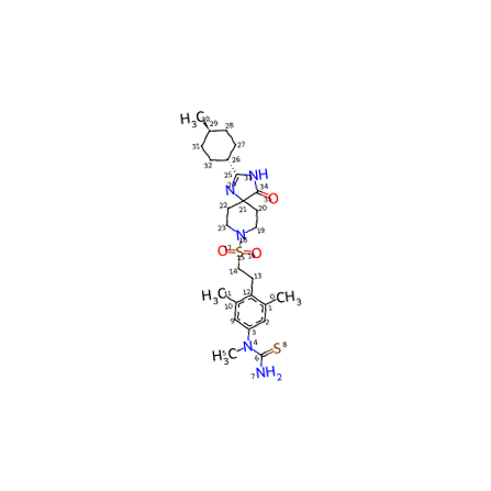 Cc1cc(N(C)C(N)=S)cc(C)c1CCS(=O)(=O)N1CCC2(CC1)N=C([C@H]1CC[C@H](C)CC1)NC2=O